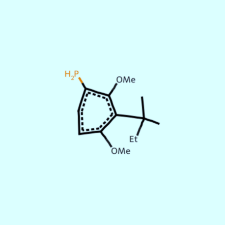 CCC(C)(C)c1c(OC)ccc(P)c1OC